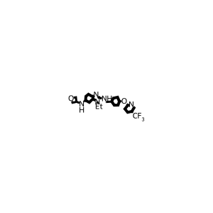 CCn1c(NCc2ccc(Oc3ccc(C(F)(F)F)cn3)cc2)nc2ccc(NC3COC3)cc21